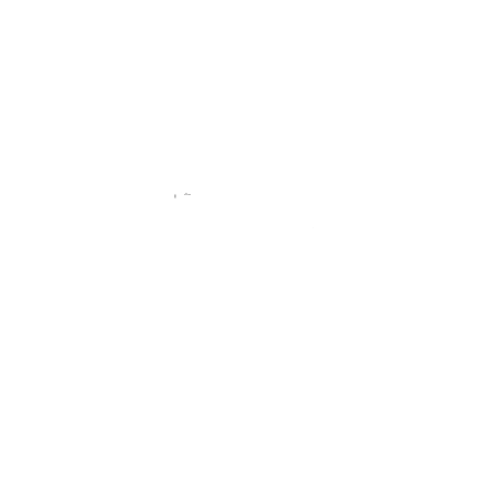 CCCCCCCOS(=O)(=O)OCC